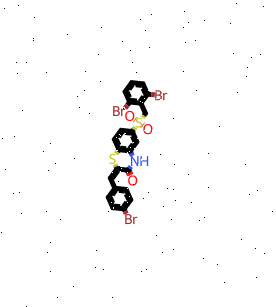 O=C1Nc2cc(S(=O)(=O)Cc3c(Br)cccc3Br)ccc2S/C1=C/c1ccc(Br)cc1